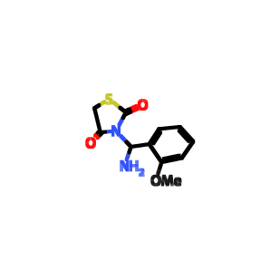 COc1ccccc1C(N)N1C(=O)CSC1=O